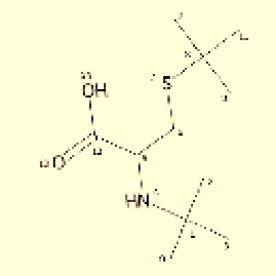 CC(C)(C)NC(CSC(C)(C)C)C(=O)O